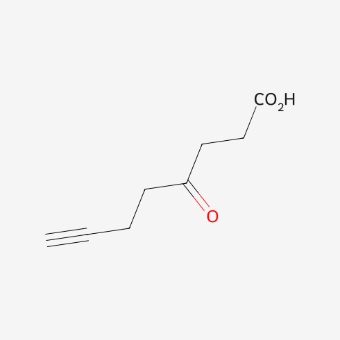 C#CCCC(=O)CCC(=O)O